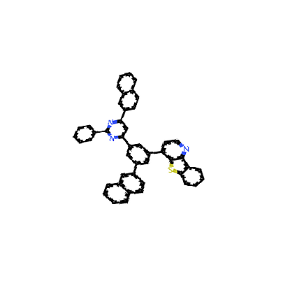 c1ccc(-c2nc(-c3cc(-c4ccc5ccccc5c4)cc(-c4ccnc5c4sc4ccccc45)c3)cc(-c3ccc4ccccc4c3)n2)cc1